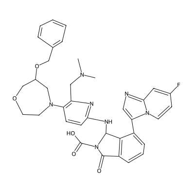 CN(C)Cc1nc(NC2c3c(cccc3-c3cnc4cc(F)ccn34)C(=O)N2C(=O)O)ccc1N1CCOCC(OCc2ccccc2)C1